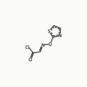 O=C(Cl)C=NOc1nccs1